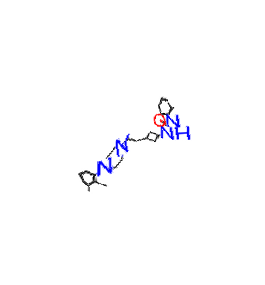 Cc1cccc(N2CCN(CCC3CC(Nc4nc5ccccc5o4)C3)CC2)c1C